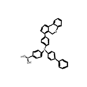 OB(O)c1ccc(N(c2ccc(-c3ccccc3)cc2)c2ccc(-c3cccc4c3CSc3ccccc3-4)cc2)cc1